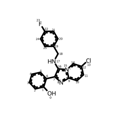 Oc1ccccc1-c1nc2ccc(Cl)cn2c1NCc1ccc(F)cc1